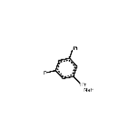 CC(C)c1cc(F)cc(C(C)C)c1.[NaH]